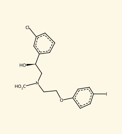 O=C(O)N(CCOc1ccc(I)cc1)C[C@@H](O)c1cccc(Cl)c1